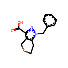 O=C(O)c1nn(Cc2ccccc2)c2c1CSCC2